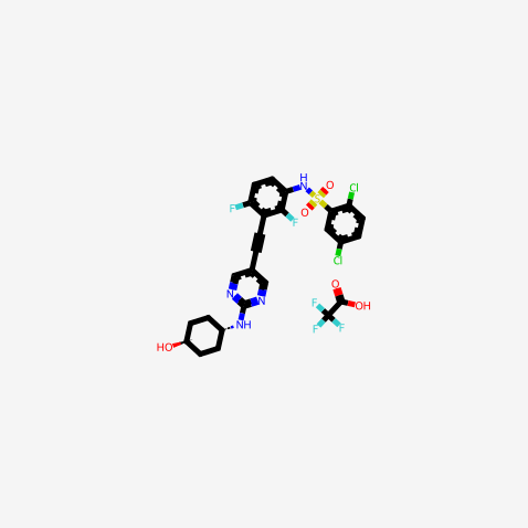 O=C(O)C(F)(F)F.O=S(=O)(Nc1ccc(F)c(C#Cc2cnc(N[C@H]3CC[C@H](O)CC3)nc2)c1F)c1cc(Cl)ccc1Cl